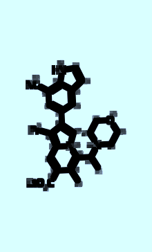 CCOC(=O)c1cc2c(C(C)C)c(-c3cc(C#N)c4[nH]ccc4c3)cn2c(C(C)N2CCOCC2)c1C